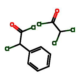 O=C(Cl)C(Cl)Cl.O=C(Cl)C(Cl)c1ccccc1